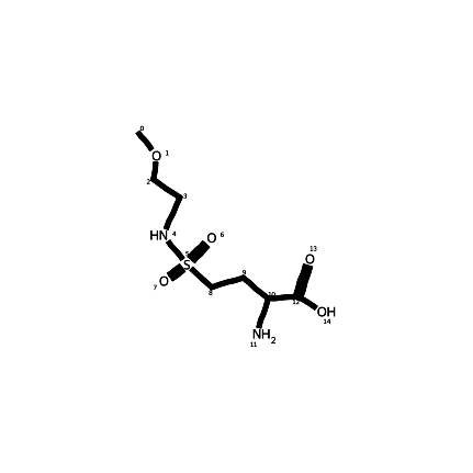 COCCNS(=O)(=O)CCC(N)C(=O)O